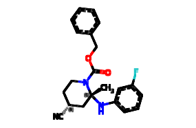 C[C@@]1(Nc2cccc(F)c2)C[C@H](C#N)CCN1C(=O)OCc1ccccc1